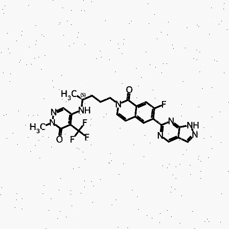 C[C@@H](CCCn1ccc2cc(-c3ncc4cn[nH]c4n3)c(F)cc2c1=O)Nc1cnn(C)c(=O)c1C(F)(F)F